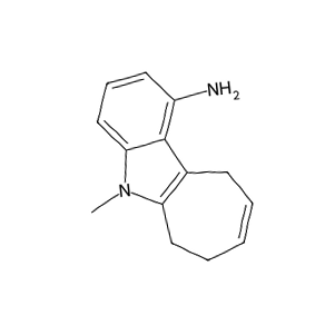 Cn1c2c(c3c(N)cccc31)CC=CCC2